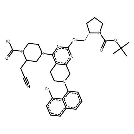 CC(C)(C)OC(=O)N1CCC[C@H]1COc1nc2c(c(N3CCN(C(=O)O)C(CC#N)C3)n1)CCN(c1cccc3cccc(Br)c13)C2